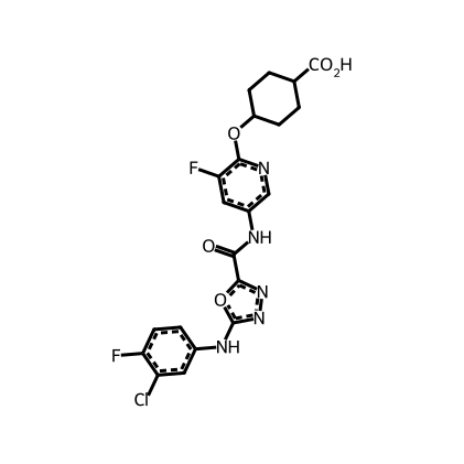 O=C(Nc1cnc(OC2CCC(C(=O)O)CC2)c(F)c1)c1nnc(Nc2ccc(F)c(Cl)c2)o1